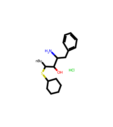 CCCCC(SC1CCCCC1)C(O)C(N)Cc1ccccc1.Cl